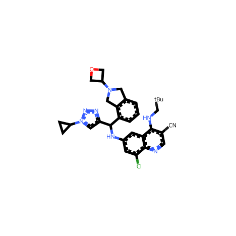 CC(C)(C)CNc1c(C#N)cnc2c(Cl)cc(NC(c3cn(C4CC4)nn3)c3cccc4c3CN(C3COC3)C4)cc12